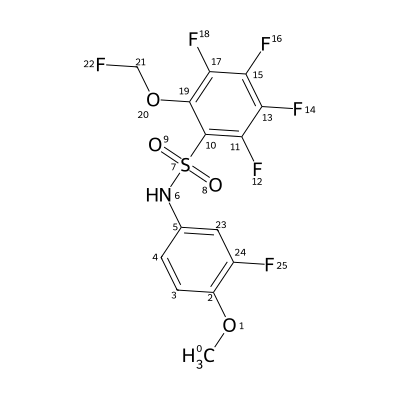 COc1ccc(NS(=O)(=O)c2c(F)c(F)c(F)c(F)c2OCF)cc1F